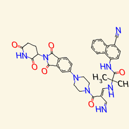 CC(C)(N/C=C(\C=N)C(=O)N1CCN(c2ccc3c(c2)C(=O)N(C2CCC(=O)NC2=O)C3=O)CC1)C(=O)Nc1ccc(C#N)c2ccccc12